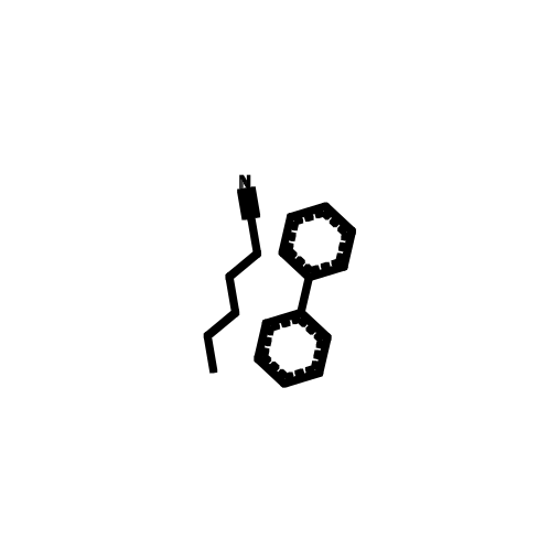 CCCCCC#N.c1ccc(-c2ccccc2)cc1